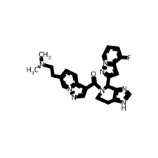 CN(C)CCc1ccc2c(C(=O)N3CCc4[nH]cnc4C3c3cc4c(F)cccn4n3)cnn2c1